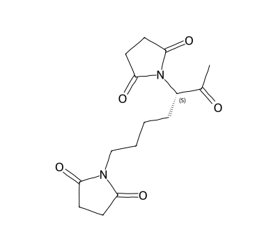 CC(=O)[C@H](CCCCN1C(=O)CCC1=O)N1C(=O)CCC1=O